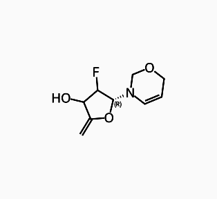 C=C1O[C@@H](N2C=CCOC2)C(F)C1O